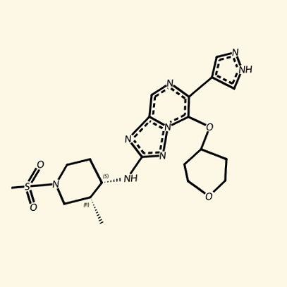 C[C@@H]1CN(S(C)(=O)=O)CC[C@@H]1Nc1nc2cnc(-c3cn[nH]c3)c(OC3CCOCC3)n2n1